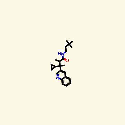 CC(C(=O)NCCC(C)(C)C)C(C)(c1cnc2ccccc2c1)C1CC1